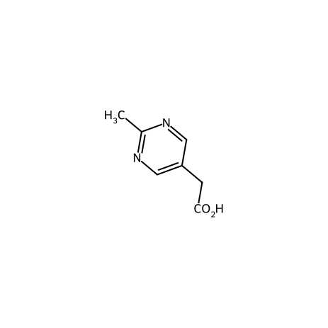 Cc1ncc(CC(=O)O)cn1